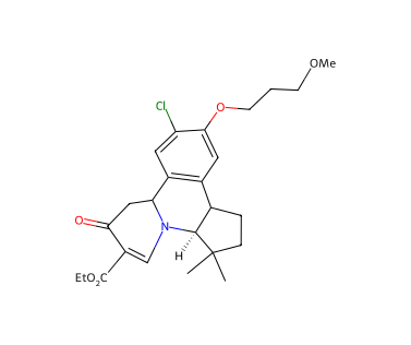 CCOC(=O)C1=CN2C(CC1=O)c1cc(Cl)c(OCCCOC)cc1C1CCC(C)(C)[C@H]12